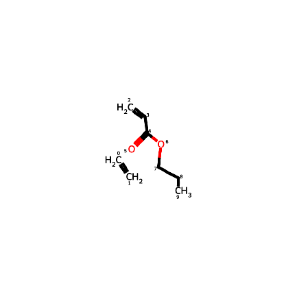 C=C.C=CC(=O)OCCC